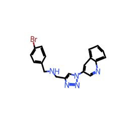 Brc1ccc(CNCc2cn(-c3cnc4ccccc4c3)nn2)cc1